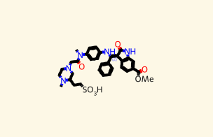 COC(=O)c1ccc2c(c1)NC(=O)/C2=C(\Nc1ccc(N(C)C(=O)CN2CCN(C)C(CCS(=O)(=O)O)C2)cc1)c1ccccc1